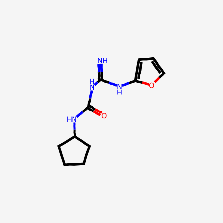 N=C(NC(=O)NC1CCCC1)Nc1ccco1